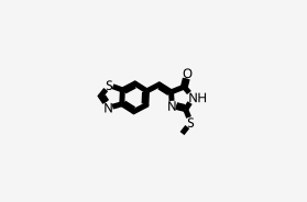 CSC1=N/C(=C\c2ccc3ncsc3c2)C(=O)N1